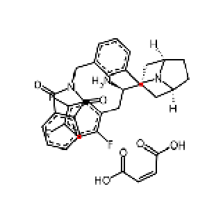 N[C@H](Cc1cc(F)c(F)cc1F)[C@@H]1C[C@H]2CC[C@@H](C1)N2Cc1cccc(CN2C(=O)c3ccccc3C2=O)c1.O=C(O)/C=C\C(=O)O